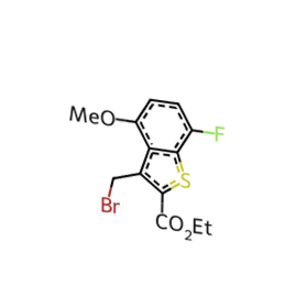 CCOC(=O)c1sc2c(F)ccc(OC)c2c1CBr